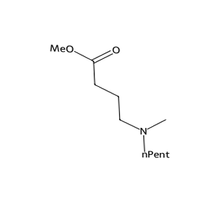 CCCCCN(C)CCCC(=O)OC